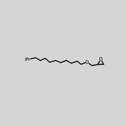 CC(C)CCCCCCCCCCOCC1CO1